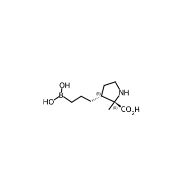 C[C@@]1(C(=O)O)NCC[C@H]1CCCB(O)O